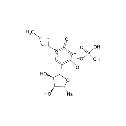 CN1CC(n2cc([C@@H]3O[C@H]([Na])[C@@H](O)[C@H]3O)c(=O)[nH]c2=O)C1.O=P(O)(O)O